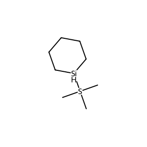 CS(C)(C)[SiH]1CCCCC1